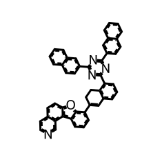 C1=C(c2cccc3c2oc2ccc4ccncc4c23)CCc2c1cccc2-c1nc(-c2ccc3ccccc3c2)nc(-c2ccc3ccccc3c2)n1